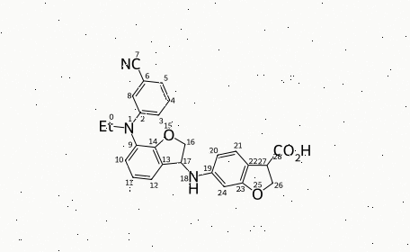 CCN(c1cccc(C#N)c1)c1cccc2c1OCC2Nc1ccc2c(c1)OCC2C(=O)O